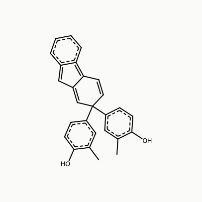 Cc1cc(C2(c3ccc(O)c(C)c3)C=CC3=c4ccccc4=CC3=C2)ccc1O